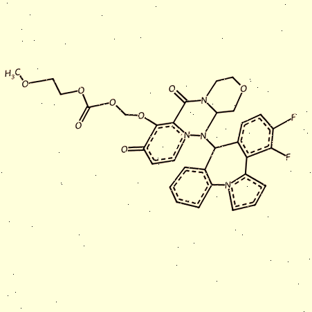 COCCOC(=O)OCOc1c2n(ccc1=O)N(C1c3ccccc3-n3cccc3-c3c1ccc(F)c3F)C1COCCN1C2=O